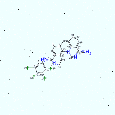 Cc1ccc2c(Nc3cc(F)c(F)c(F)c3F)nccc2c1N1CN=C(N)c2ccccc21